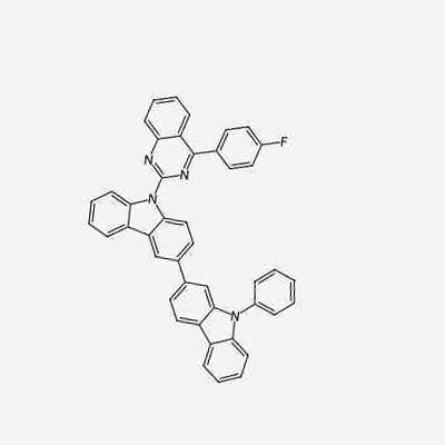 Fc1ccc(-c2nc(-n3c4ccccc4c4cc(-c5ccc6c7ccccc7n(-c7ccccc7)c6c5)ccc43)nc3ccccc23)cc1